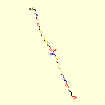 CCC/N=C/OOCCSCSCSCCOC(=O)NCCSCSCSCC/N=C/OOCCCO